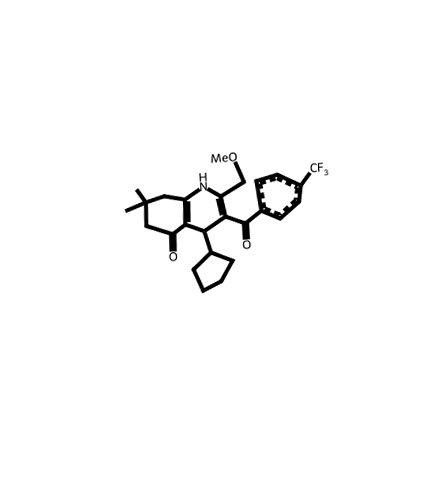 COCC1=C(C(=O)c2ccc(C(F)(F)F)cc2)C(C2CCCC2)C2=C(CC(C)(C)CC2=O)N1